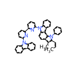 C/C=C\c1c(C)c2ccc3c(c4ccccc4n3-c3cccc(-c4cccc(-n5c6ccccc6c6ccccc65)n4)n3)c2n1-c1ccccc1